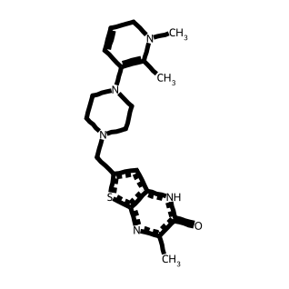 CC1=C(N2CCN(Cc3cc4[nH]c(=O)c(C)nc4s3)CC2)C=CCN1C